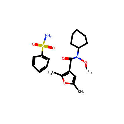 CON(C(=O)c1cc(C)oc1C)C1CCCCC1.NS(=O)(=O)c1ccccc1